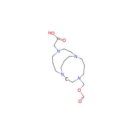 O=COCN1CCCN2CCCN(CCCN(CC(=O)O)CC2)CC1